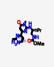 C=C/N=C(\C=C/N)c1cc(=O)n(C)c(N[C@H](CCC)CNC(=O)OC)n1